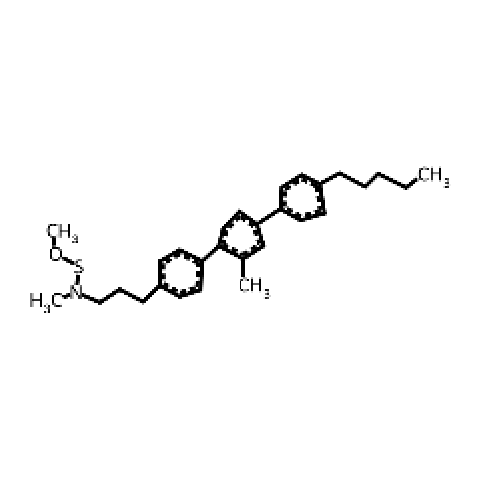 CCCCCc1ccc(-c2ccc(-c3ccc(CCCN(C)SOC)cc3)c(C)c2)cc1